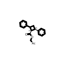 CC(=O)COC(=O)[C@H]1C(c2ccccc2)C[C@H]1c1ccccc1